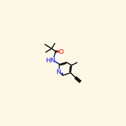 C#Cc1cnc(NC(=O)C(C)(C)C)cc1C